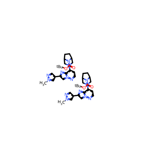 Cn1cc(-c2cn3nccc(N4CC5CCC(C4)N5C(=O)OC(C)(C)C)c3n2)cn1.Cn1cc(-c2cn3nccc(N4CC5CCC(C4)N5C(=O)OC(C)(C)C)c3n2)cn1